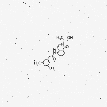 Cc1cc(C)cc(CC(=O)Nc2cccc3c(=O)n(C(C)CO)ccc23)c1